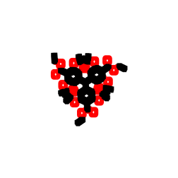 CCOC(=O)c1c2c(c(C(c3c4c(c(C(=O)OCC)c5c3OC(C)(C)O5)OC(C)(C)O4)c3c4c(c(C(=O)OCC)c5c3OC(C)(C)O5)OC(C)(C)O4)c3c1OC(C)(C)O3)OC(C)(C)O2